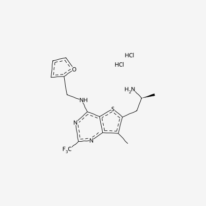 Cc1c(C[C@H](C)N)sc2c(NCc3ccco3)nc(C(F)(F)F)nc12.Cl.Cl